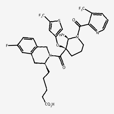 CCC[C@H]1N(C(=O)c2ncccc2C(F)(F)F)CCC[C@]1(Oc1csc(C(F)(F)F)c1)C(=O)N1Cc2ccc(F)cc2C[C@@H]1CCCCC(=O)O